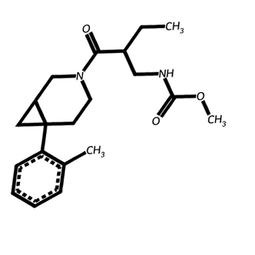 CCC(CNC(=O)OC)C(=O)N1CCC2(c3ccccc3C)CC2C1